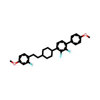 COc1ccc(-c2ccc(C3CCC(CCc4ccc(OC)cc4F)CC3)c(F)c2F)cc1